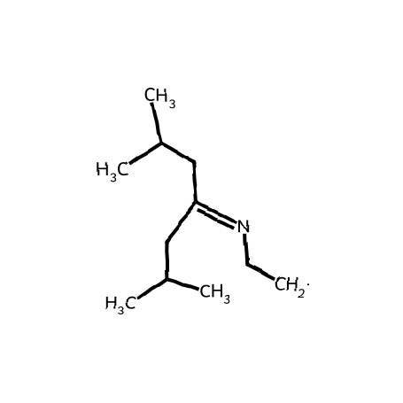 [CH2]CN=C(CC(C)C)CC(C)C